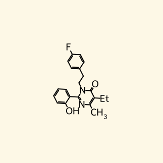 CCc1c(C)nc(-c2ccccc2O)n(CCc2ccc(F)cc2)c1=O